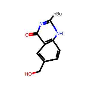 CCCCc1nc(=O)c2cc(CO)ccc2[nH]1